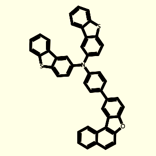 c1ccc2c(c1)ccc1oc3ccc(-c4ccc(N(c5ccc6sc7ccccc7c6c5)c5ccc6sc7ccccc7c6c5)cc4)cc3c12